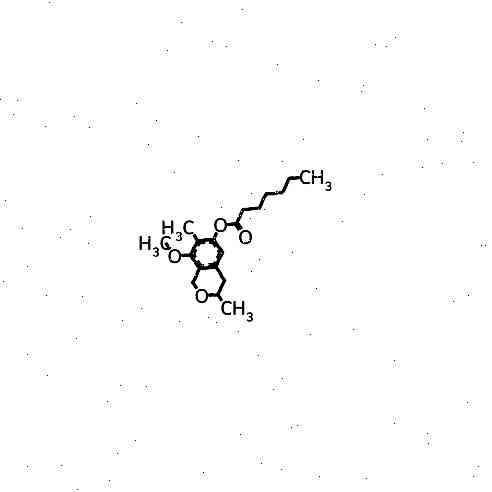 CCCCCCC(=O)Oc1cc2c(c(OC)c1C)COC(C)C2